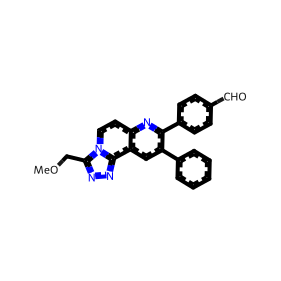 COCc1nnc2c3cc(-c4ccccc4)c(-c4ccc(C=O)cc4)nc3ccn12